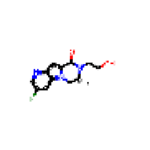 C[C@@H]1Cn2c(cc3ncc(F)cc32)C(=O)N1CCO